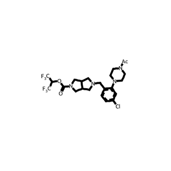 CC(=O)N1CCN(c2cc(Cl)ccc2CN2CC3CN(C(=O)OC(C(F)(F)F)C(F)(F)F)CC3C2)CC1